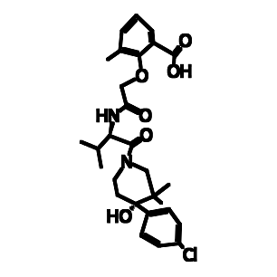 Cc1cccc(C(=O)O)c1OCC(=O)N[C@@H](C(=O)N1CC[C@](O)(c2ccc(Cl)cc2)C(C)(C)C1)C(C)C